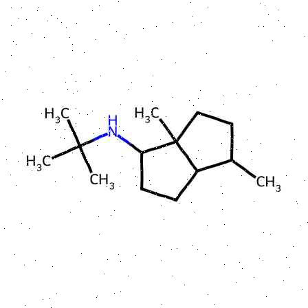 CC1CCC2(C)C(NC(C)(C)C)CCC12